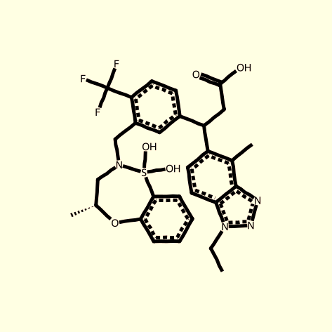 CCn1nnc2c(C)c(C(CC(=O)O)c3ccc(C(F)(F)F)c(CN4C[C@@H](C)Oc5ccccc5S4(O)O)c3)ccc21